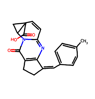 Cc1ccc(/C=C2/CCc3c2nc2n(c3=O)C3CC3(C(=O)O)C=C2)cc1